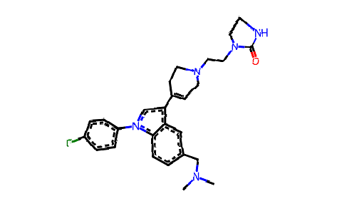 CN(C)Cc1ccc2c(c1)c(C1=CCN(CCN3CCNC3=O)CC1)cn2-c1ccc(F)cc1